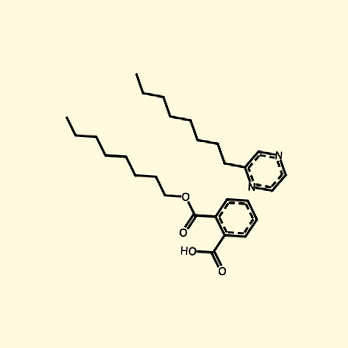 CCCCCCCCOC(=O)c1ccccc1C(=O)O.CCCCCCCCc1cnccn1